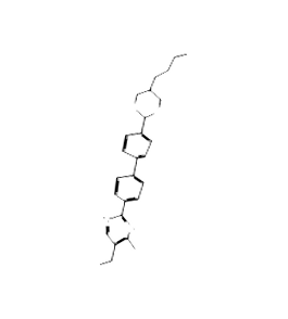 CCCCC1CSC(c2ccc(-c3ccc(-c4ncc(CC)c(F)n4)cc3)cc2)SC1